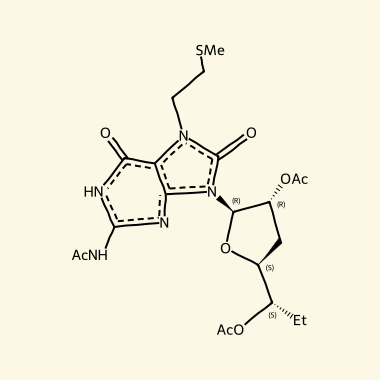 CC[C@H](OC(C)=O)[C@@H]1C[C@@H](OC(C)=O)[C@H](n2c(=O)n(CCSC)c3c(=O)[nH]c(NC(C)=O)nc32)O1